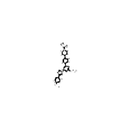 CC(C)(C)OC(=O)N1CCC(c2ccc(-c3cc(-n4cc(-c5ccc(C(F)(F)F)cc5)nn4)cc(C(=O)O)n3)cc2)CC1